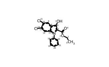 CCOC(=O)c1c(O)c2cc(Cl)c(Cl)cc2n1-c1ccccc1